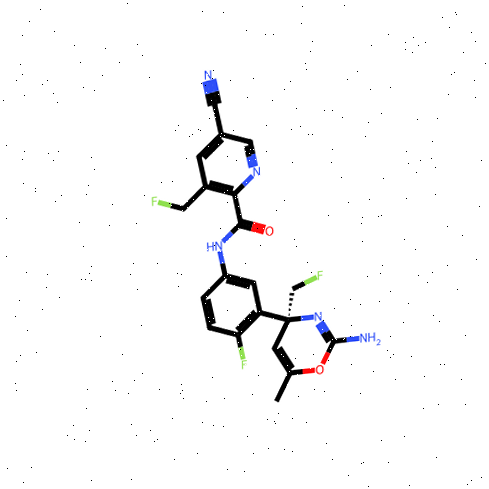 CC1=C[C@@](CF)(c2cc(NC(=O)c3ncc(C#N)cc3CF)ccc2F)N=C(N)O1